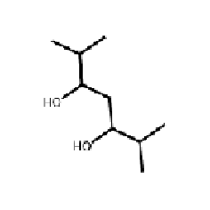 CC(C)C(O)CC(O)C(C)C